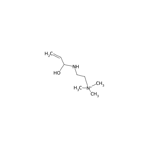 C=CC(O)NCC[N+](C)(C)C